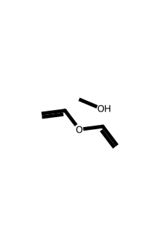 C=COC=C.CO